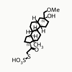 COC[C@]1(O)CC[C@H]2[C@H](CC[C@@H]3[C@@H]2CC[C@]2(C)[C@@H](C(=O)CSS(=O)(=O)O)CC[C@@H]32)C1